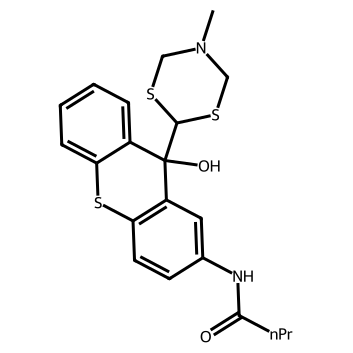 CCCC(=O)Nc1ccc2c(c1)C(O)(C1SCN(C)CS1)c1ccccc1S2